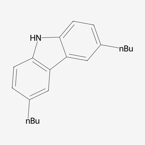 CCCCc1ccc2[nH]c3ccc(CCCC)cc3c2c1